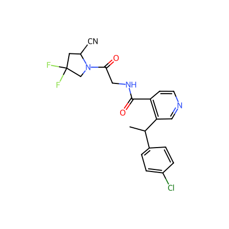 CC(c1ccc(Cl)cc1)c1cnccc1C(=O)NCC(=O)N1CC(F)(F)CC1C#N